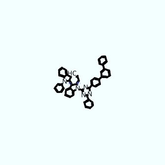 C#C/C=c1\c(=C2/Cc3ccccc3N2c2ccccc2)c2ccccc2n1-c1nc(-c2ccccc2)nc(-c2ccc(-c3cccc(-c4ccccc4)c3)cc2)n1